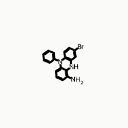 Nc1cccc2c1Nc1cc(Br)ccc1N2c1ccccc1